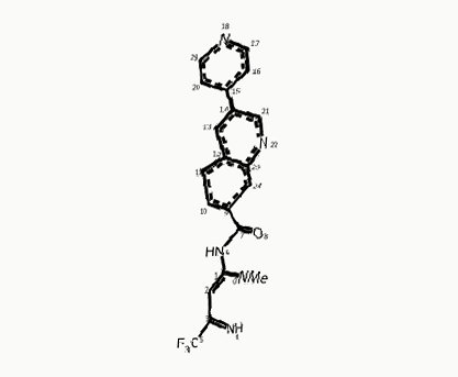 CN/C(=C\C(=N)C(F)(F)F)NC(=O)c1ccc2cc(-c3ccncc3)cnc2c1